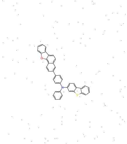 c1ccc(N(c2ccc(-c3ccc4c(ccc5c6ccccc6oc45)c3)cc2)c2ccc3c(c2)sc2ccccc23)cc1